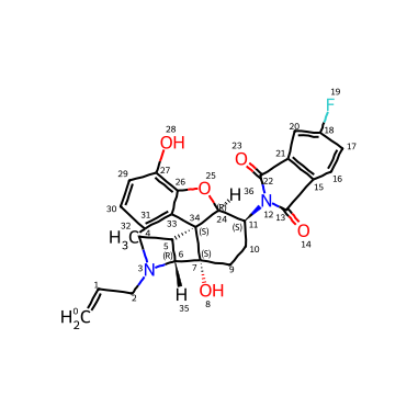 C=CCN1CC2[C@@H]1[C@]1(O)CC[C@H](N3C(=O)c4ccc(F)cc4C3=O)[C@@H]3Oc4c(O)ccc(C)c4[C@@]231